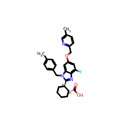 Cc1ccc(Cn2c([C@@H]3CCCC[C@H]3C(=O)O)nc3c(F)cc(OCc4ccc(C)cn4)cc32)cc1